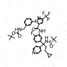 CC(C)(C)OC(=O)NCc1cccc(-n2nc(C(F)(F)F)cc2C(=O)Nc2cc(C(CCC3CC3)(N[S+]([O-])C(C)(C)C)c3ccncc3)ccc2F)c1